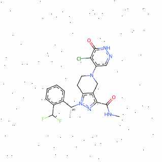 CNC(=O)c1nn([C@H](C)c2ccccc2C(F)F)c2c1CN(c1cn[nH]c(=O)c1Cl)CC2